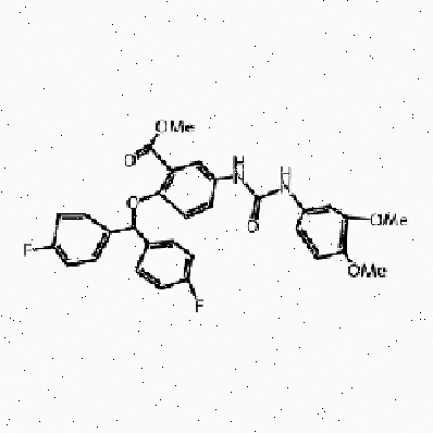 COC(=O)c1cc(NC(=O)Nc2ccc(OC)c(OC)c2)ccc1OC(c1ccc(F)cc1)c1ccc(F)cc1